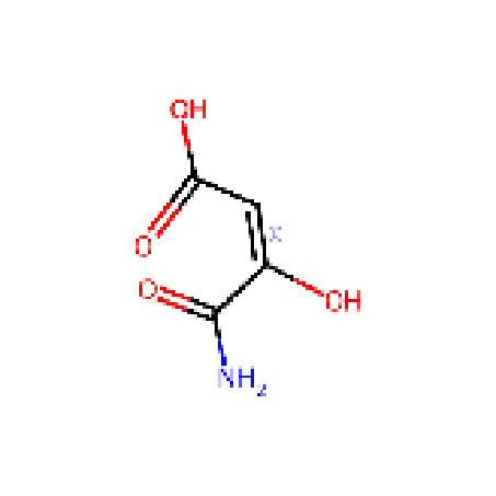 NC(=O)/C(O)=C\C(=O)O